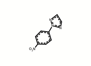 O=[N+]([O-])c1ccc(-n2nccn2)cc1